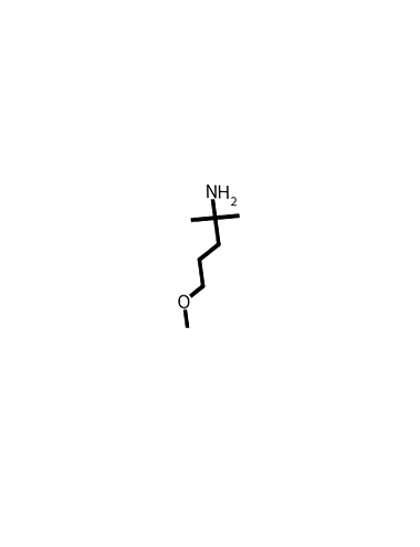 COCCCC(C)(C)N